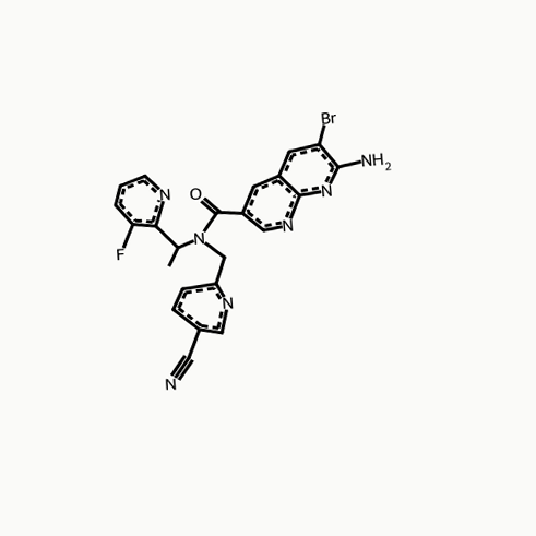 CC(c1ncccc1F)N(Cc1ccc(C#N)cn1)C(=O)c1cnc2nc(N)c(Br)cc2c1